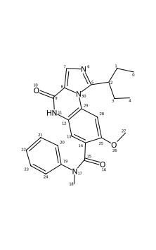 CCC(CC)c1ncc2c(=O)[nH]c3cc(C(=O)N(C)c4ccccc4)c(OC)cc3n12